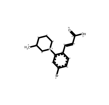 CC1CCCN(c2cc(Br)ccc2C=CC(=O)O)C1